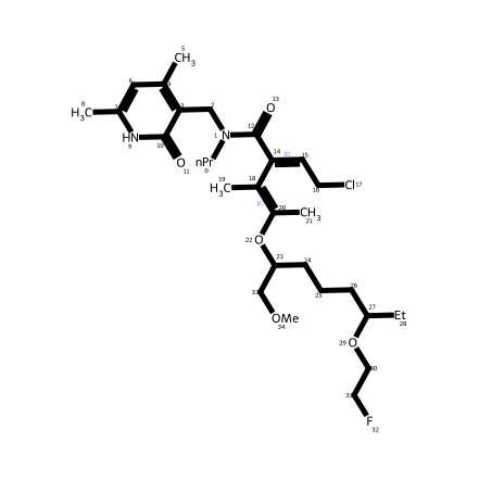 CCCN(Cc1c(C)cc(C)[nH]c1=O)C(=O)C(=C/CCl)/C(C)=C(\C)OC(CCCC(CC)OCCF)COC